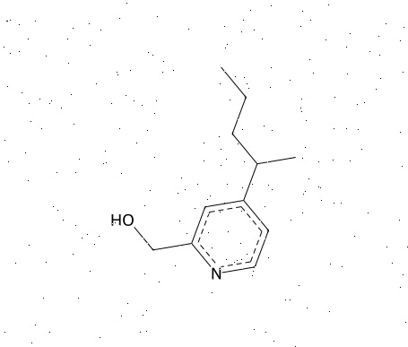 CCCC(C)c1ccnc(CO)c1